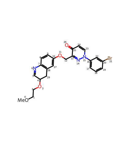 COCCOC1C=Nc2ccc(OCc3nn(-c4cccc(Br)c4)ccc3=O)cc2C1